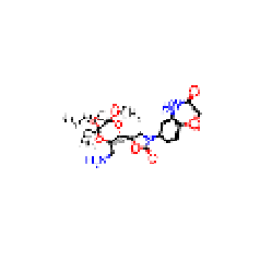 CO[C@@]1(C)O[C@H]([C@H]2CN(c3ccc4c(c3)NC(=O)CO4)C(=O)O2)[C@@H](CN)O[C@]1(C)OC